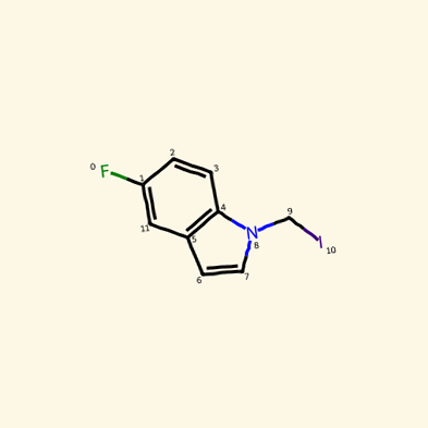 Fc1ccc2c(ccn2CI)c1